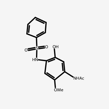 COc1cc(NS(=O)(=O)c2ccccc2)c(O)cc1NC(C)=O